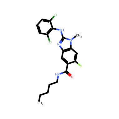 CCCCCNC(=O)c1cc2nc(Nc3c(Cl)cccc3Cl)n(C)c2cc1F